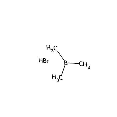 Br.CB(C)C